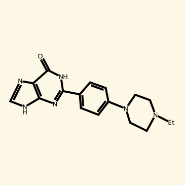 CCN1CCN(c2ccc(-c3nc4[nH]cnc4c(=O)[nH]3)cc2)CC1